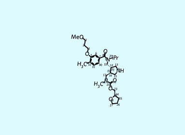 COCCCOc1cc(C(=O)N(C[C@@H]2CNC[C@H]2CN(C)C(=O)OC[C@H]2CCCO2)C(C)C)ccc1C